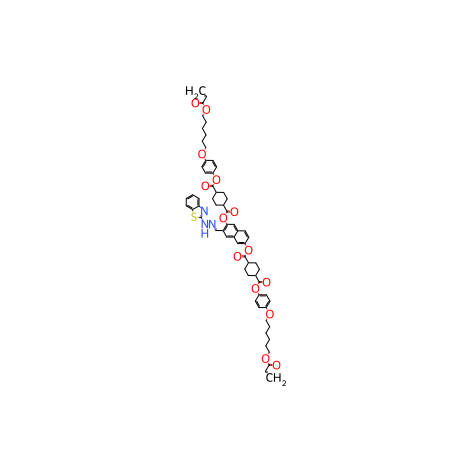 C=CC(=O)OCCCCCCOc1ccc(OC(=O)C2CCC(C(=O)Oc3ccc4cc(OC(=O)C5CCC(C(=O)Oc6ccc(OCCCCCCOC(=O)C=C)cc6)CC5)c(/C=N/Nc5nc6ccccc6s5)cc4c3)CC2)cc1